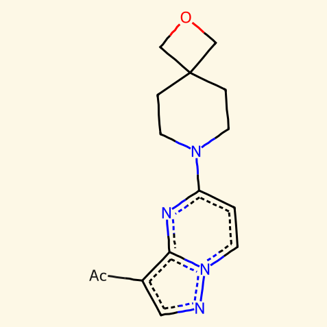 CC(=O)c1cnn2ccc(N3CCC4(CC3)COC4)nc12